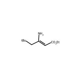 CCOC(=O)C=C(N)CC(C)(C)C